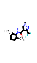 Cn1cc(C(=O)Nc2c(C(=O)O)cccc2C(F)(F)F)c(C(F)F)n1